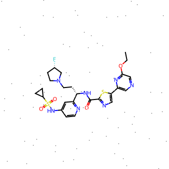 CCOc1cncc(-c2cnc(C(=O)N[C@@H](CCN3CC[C@H](F)C3)c3cc(NS(=O)(=O)C4CC4)ccn3)s2)n1